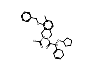 Cc1ccc2c(c1OCc1ccccc1)C[C@H](C(=O)O)N(C(=O)[C@@H](OC1CCCC1)C1=CC=CCC1)C2